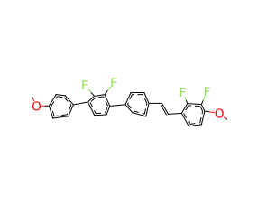 COc1ccc(-c2ccc(-c3ccc(/C=C/c4ccc(OC)c(F)c4F)cc3)c(F)c2F)cc1